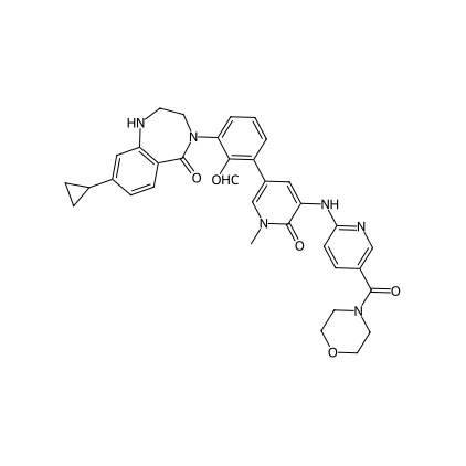 Cn1cc(-c2cccc(N3CCNc4cc(C5CC5)ccc4C3=O)c2C=O)cc(Nc2ccc(C(=O)N3CCOCC3)cn2)c1=O